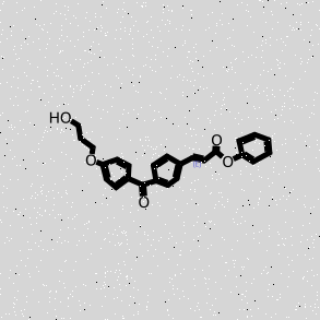 O=C(/C=C/c1ccc(C(=O)c2ccc(OCCCO)cc2)cc1)Oc1ccccc1